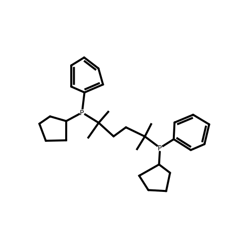 CC(C)(CCC(C)(C)P(c1ccccc1)C1CCCC1)P(c1ccccc1)C1CCCC1